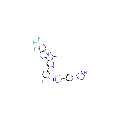 Cc1nnc(N[C@H](C)c2cccc(C(F)F)c2F)c2cc(-c3ccc(F)c(CN4CCC(c5ccc(N6C=CCNC6)cc5)CC4)c3)ncc12